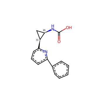 O=C(O)N[C@@H]1C[C@@H]1c1cccc(-c2ccccc2)n1